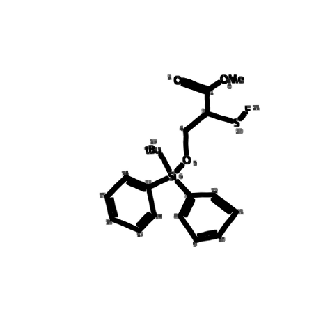 COC(=O)C(CO[Si](c1ccccc1)(c1ccccc1)C(C)(C)C)SF